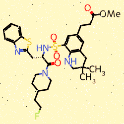 COC(=O)CCc1cc2c(c(S(=O)(=O)N[C@@H](Cc3nc4ccccc4s3)C(=O)N3CCC(CCF)CC3)c1)NCC(C)(C)C2